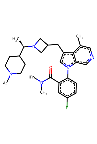 CC(=O)N1CCC([C@@H](C)N2CC(Cc3cn(-c4ccc(F)cc4C(=O)N(C)C(C)C)c4cncc(C)c34)C2)CC1